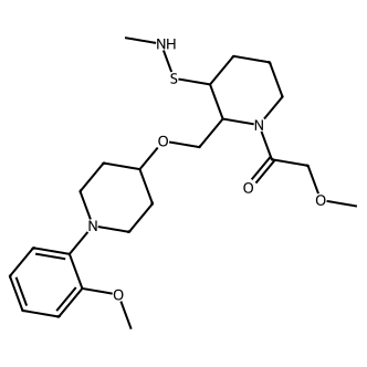 CNSC1CCCN(C(=O)COC)C1COC1CCN(c2ccccc2OC)CC1